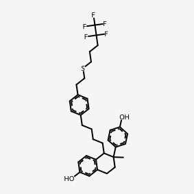 CC1(c2ccc(O)cc2)CCc2cc(O)ccc2C1CCCCc1ccc(CCSCCCC(F)(F)C(F)(F)F)cc1